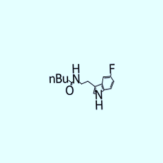 CCCCC(=O)NCCc1c[nH]c2ccc(F)cc12